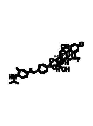 Cc1cc(SCc2ccc([C@@H]3O[C@@H]4C[C@H]5[C@@H]6C[C@H](F)C7=CC(=O)C=C[C@]7(C)[C@@]6(F)[C@@H](O)C[C@]5(C)[C@]4(C(=O)CO)O3)cc2)ccc1NC(C)C